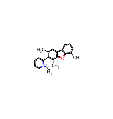 Cc1cc2c(oc3c(C#N)cccc32)c(C)c1-c1cccc[n+]1C